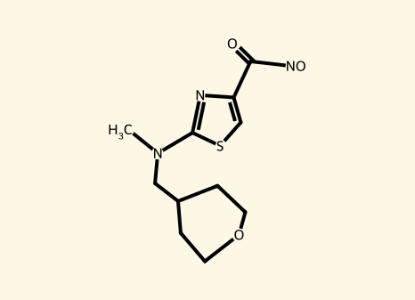 CN(CC1CCOCC1)c1nc(C(=O)N=O)cs1